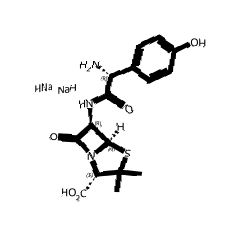 CC1(C)S[C@@H]2[C@H](NC(=O)[C@H](N)c3ccc(O)cc3)C(=O)N2[C@H]1C(=O)O.[NaH].[NaH]